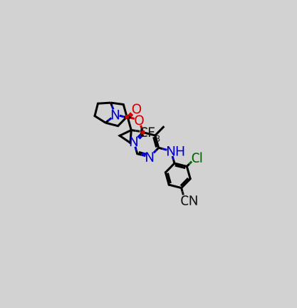 Cc1c(Nc2ccc(C#N)cc2Cl)ncnc1OC1CC2CCC(C1)N2C(=O)C1(C(F)(F)F)CC1